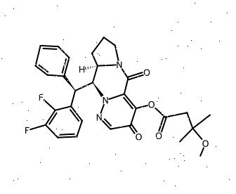 COC(C)(C)CC(=O)Oc1c2n(ncc1=O)[C@@H]([C@H](c1ccccc1)c1cccc(F)c1F)[C@H]1CCCN1C2=O